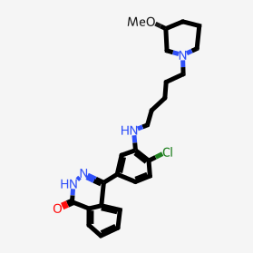 COC1CCCN(CCCCCNc2cc(-c3n[nH]c(=O)c4ccccc34)ccc2Cl)C1